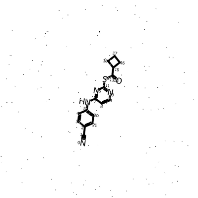 N#Cc1ccc(Nc2ccnc(SC(=O)C3CCC3)n2)cc1